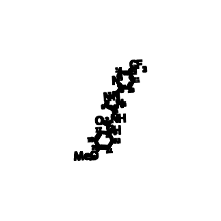 [2H]C1(C(=O)Nc2cnn(-c3ccc(C(F)(F)F)cn3)n2)C=CC(OC)=CC1